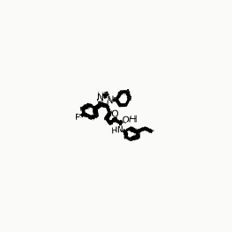 CCc1cccc(NC(O)c2ccc(-c3c(-c4ccc(F)cc4)ncn3C3CCCCC3)o2)c1